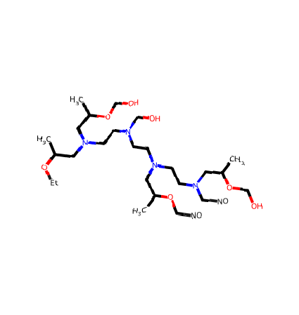 CCOC(C)CN(CCN(CO)CCN(CCN(CN=O)CC(C)OCO)CC(C)OCN=O)CC(C)OCO